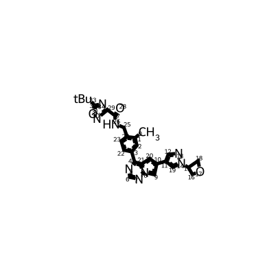 Cc1cc(-c2ncnn3cc(-c4cnn(C5COC5)c4)cc23)ccc1CNC(=O)c1noc(C(C)(C)C)n1